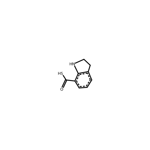 O=C(S)c1cccc2c1NCC2